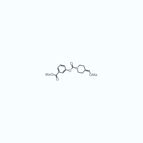 COC=C1CCN(C(=O)Oc2cccc(C(=O)OC)c2)CC1